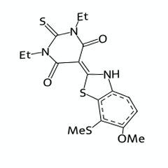 CCN1C(=O)C(=C2Nc3ccc(OC)c(SC)c3S2)C(=O)N(CC)C1=S